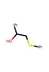 CC(C)SCC(O)C(C)C